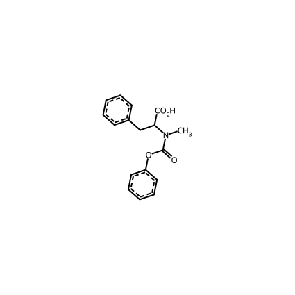 CN(C(=O)Oc1ccccc1)C(Cc1ccccc1)C(=O)O